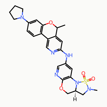 CC1Oc2cc(N3CCCC3)ccc2-c2cnc(Nc3cnc4c(c3)N3[C@H](CO4)CN(C)S3(=O)=O)cc21